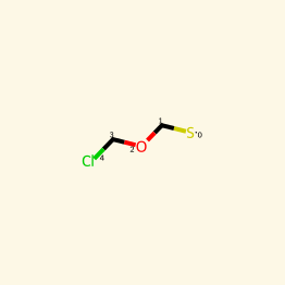 [S]COCCl